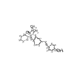 C=CC(Oc1ccc(C=Cc2ccc(O)cc2)cc1)(C(=O)OC)C1CCCCC1